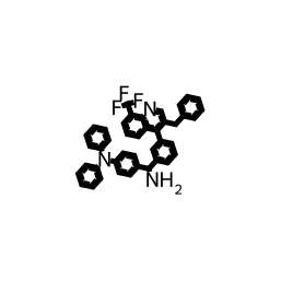 NC(c1ccc(N(c2ccccc2)c2ccccc2)cc1)c1cccc(-c2c(Cc3ccccc3)cnc3c(C(F)(F)F)cccc23)c1